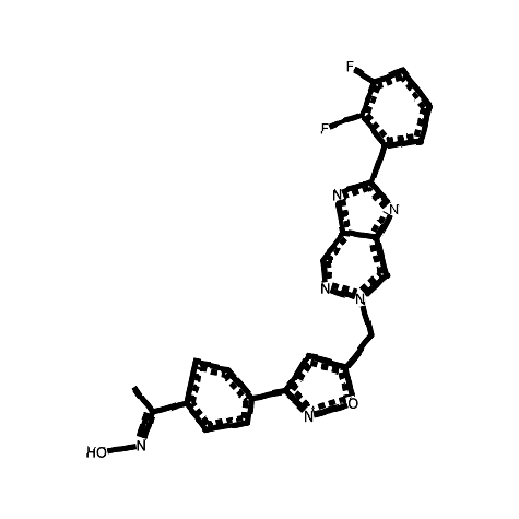 CC(=NO)c1ccc(-c2cc(Cn3cc4nc(-c5cccc(F)c5F)nc-4cn3)on2)cc1